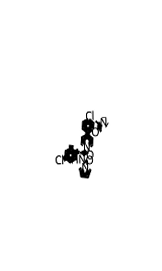 Cc1cc(Cl)ccc1C[C@@H](NC(=O)N1CCCC1)C(=O)N1CCC(c2ccc(Cl)cc2OC[C@@H](C)N(C)C)CC1